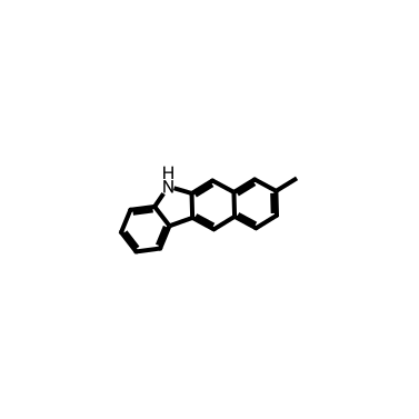 Cc1ccc2cc3c(cc2c1)[nH]c1ccccc13